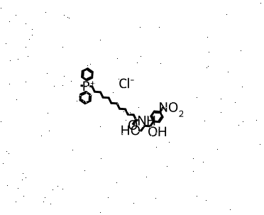 C[P+](CCCCCCCCCCCC(=O)NC(CO)C(O)c1ccc([N+](=O)[O-])cc1)(c1ccccc1)c1ccccc1.[Cl-]